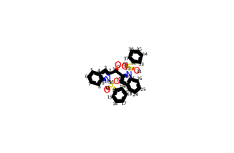 O=C(c1cc2ccccc2n1S(=O)(=O)c1ccccc1)c1cc2ccccc2n1S(=O)(=O)c1ccccc1